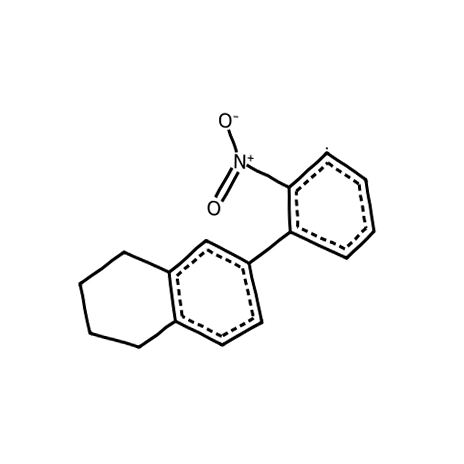 O=[N+]([O-])c1[c]cccc1-c1ccc2c(c1)CCCC2